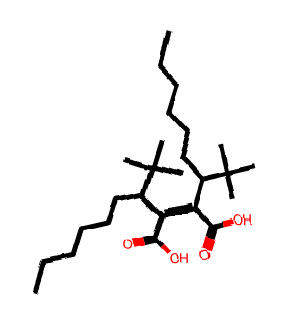 CCCCCCC(C(C(=O)O)=C(C(=O)O)C(CCCCCC)C(C)(C)C)C(C)(C)C